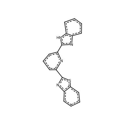 c1cc(-c2nc3ccccc3[nH]2)nc(-c2nc3ccccc3s2)c1